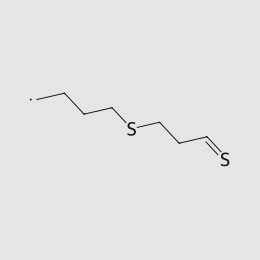 [CH2]CCCSCCC=S